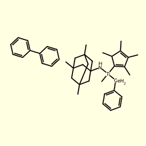 CC1=C(C)C(C)[C]([Ti]([CH3])([NH]C23CC4(C)CC(C)(CC(C)(C4)C2)C3)[GeH2][c]2ccccc2)=C1C.c1ccc(-c2ccccc2)cc1